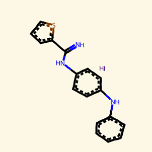 I.N=C(Nc1ccc(Nc2ccccc2)cc1)c1cccs1